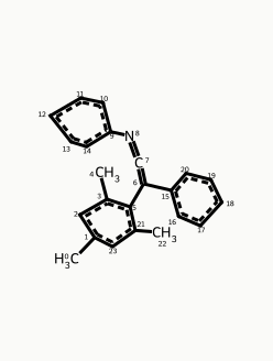 Cc1cc(C)c(C(=C=Nc2ccccc2)c2ccccc2)c(C)c1